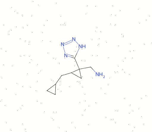 NCC1(c2nnn[nH]2)CC1CC1CC1